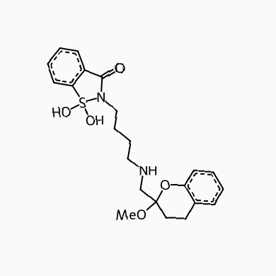 COC1(CNCCCCN2C(=O)c3ccccc3S2(O)O)CCc2ccccc2O1